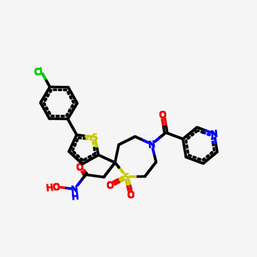 O=C(CC1(c2ccc(-c3ccc(Cl)cc3)s2)CCN(C(=O)c2cccnc2)CCS1(=O)=O)NO